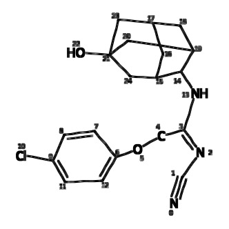 N#C/N=C(\COc1ccc(Cl)cc1)NC1C2CC3CC1CC(O)(C3)C2